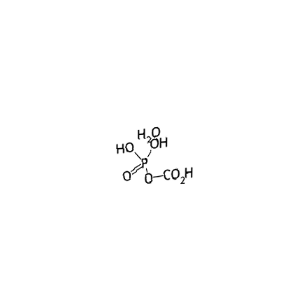 O.O=C(O)OP(=O)(O)O